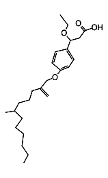 C=C(CCCC(C)CCCCCC)COc1ccc(C(CC(=O)O)OCC)cc1